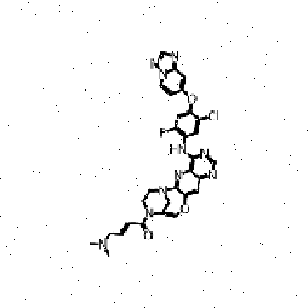 CN(C)C/C=C/C(=O)N1CCN2CC1=COc1cc3ncnc(Nc4cc(Cl)c(Oc5ccn6ncnc6c5)cc4F)c3nc12